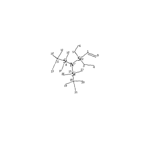 C=C[Si](CC)(CC)N([Si](C)(C)C(C)(C)C)[Si](C)(C)C(C)(C)C